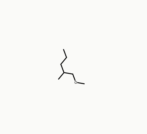 CCCC(C)COC